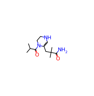 CC(C)C(=O)N1CCNC=C1CC(C)(C)C(N)=O